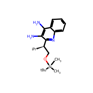 CC(C)[C@H](CO[Si](C)(C)C(C)(C)C)c1nc2ccccc2c(N)c1N